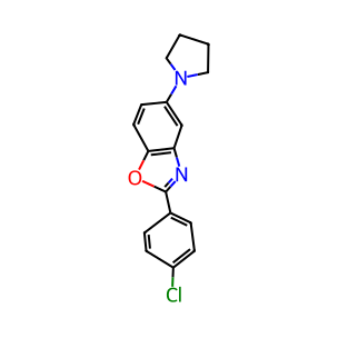 Clc1ccc(-c2nc3cc(N4CCCC4)ccc3o2)cc1